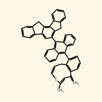 C=C1/C=C(\C)C/C=C\Cc2c1cccc2-c1c2ccccc2c(-c2cc3c(c4c2Cc2ccccc2-4)Cc2ccccc2-3)c2ccccc12